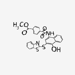 COC(=O)c1ccc(S(=O)(=O)Nc2cc(Sc3nc4ccccc4s3)c(O)c3ccccc23)cc1